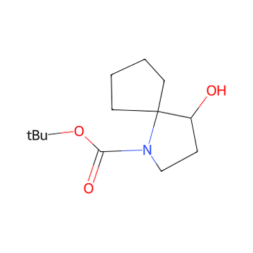 CC(C)(C)OC(=O)N1CCC(O)C12CCCC2